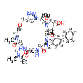 CCC(=O)N(C)C[C@H]1NC(=O)CNC(=O)[C@@H](Cc2ccc(-c3ccccc3)cc2)NC(=O)[C@@H]2C[C@@H](O)CN2C(=O)C(C(C)(C)C)n2cc(nn2)COCCN(C)C1=O